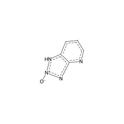 [O-][n+]1nc2ncccc2[nH]1